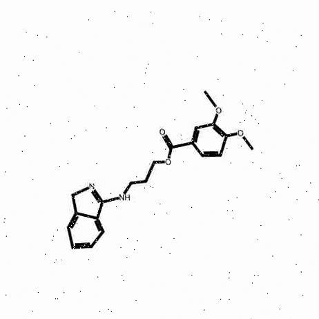 COc1ccc(C(=O)OCCCNC2=NCc3ccccc32)cc1OC